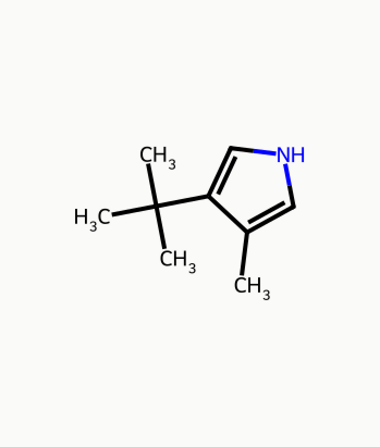 Cc1c[nH]cc1C(C)(C)C